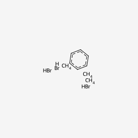 Br.Br.Br.C.C.C.c1ccccc1